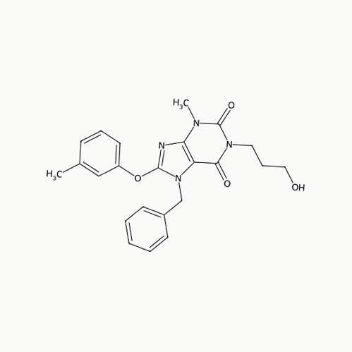 Cc1cccc(Oc2nc3c(c(=O)n(CCCO)c(=O)n3C)n2Cc2ccccc2)c1